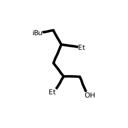 CCC(C)CC(CC)CC(CC)CO